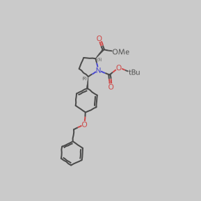 COC(=O)[C@@H]1CC[C@H](C2=CCC(OCc3ccccc3)C=C2)N1C(=O)OC(C)(C)C